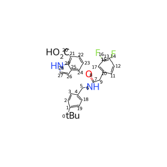 CC(C)(C)c1ccc(CNC(=O)Cc2ccc(F)c(F)c2)cc1.O=C(O)c1cccc2cc[nH]c12